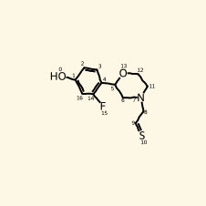 Oc1ccc(C2CN(CC=S)CCO2)c(F)c1